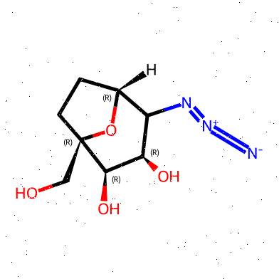 [N-]=[N+]=NC1[C@@H](O)[C@@H](O)[C@]2(CO)CC[C@H]1O2